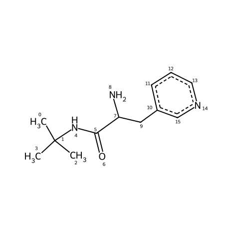 CC(C)(C)NC(=O)C(N)Cc1cccnc1